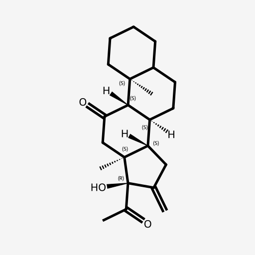 C=C1C[C@H]2[C@@H]3CCC4CCCC[C@]4(C)[C@H]3C(=O)C[C@]2(C)[C@@]1(O)C(C)=O